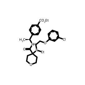 CCOC(=O)c1ccc([C@H](C)NC(=O)C2(N(CC)CCOc3cccc(Cl)c3)CCOCC2)cc1